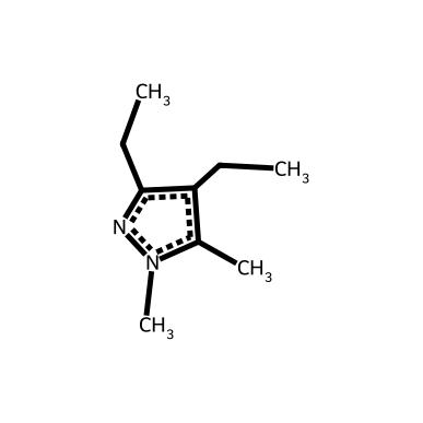 CCc1nn(C)c(C)c1CC